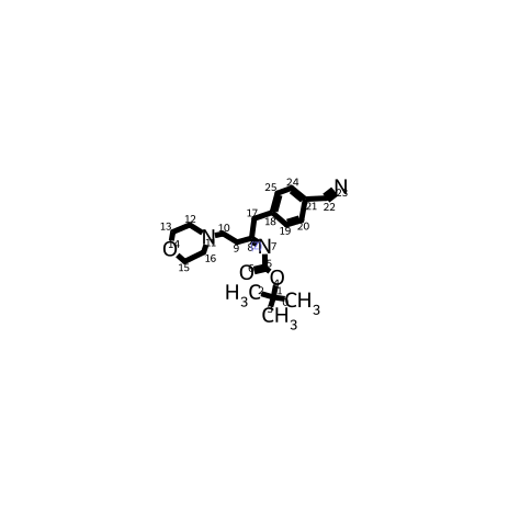 CC(C)(C)OC(=O)/N=C(\CCN1CCOCC1)Cc1ccc(C#N)cc1